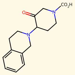 O=C1CN(C(=O)O)CCC1N1CCc2ccccc2C1